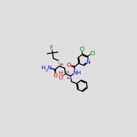 CC(C)(F)CC[C@H](C[C@H](O)[C@H](Cc1ccccc1)NC(=O)c1cnc(Cl)c(Cl)c1)C(N)=O